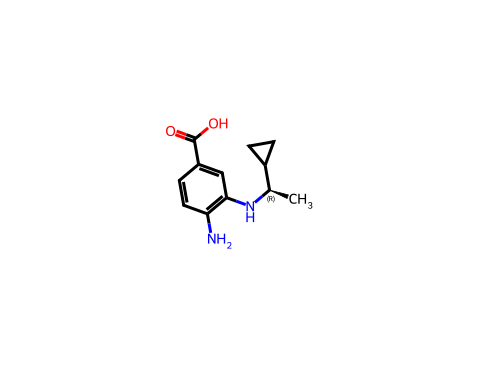 C[C@@H](Nc1cc(C(=O)O)ccc1N)C1CC1